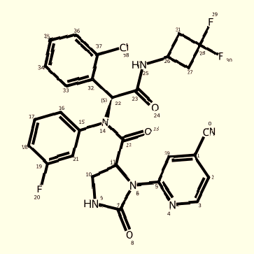 N#Cc1ccnc(N2C(=O)NCC2C(=O)N(c2cccc(F)c2)[C@H](C(=O)NC2CC(F)(F)C2)c2ccccc2Cl)c1